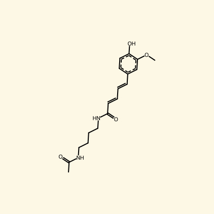 COc1cc(C=CC=CC(=O)NCCCCNC(C)=O)ccc1O